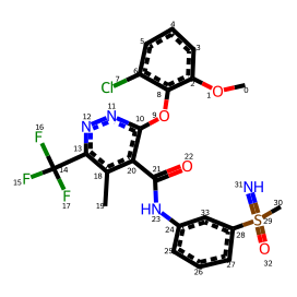 COc1cccc(Cl)c1Oc1nnc(C(F)(F)F)c(C)c1C(=O)Nc1cccc(S(C)(=N)=O)c1